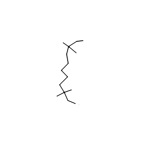 CC(C)(CO)CCCCCC(C)(C)CO